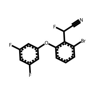 N#CC(F)c1c(Br)cccc1Oc1cc(F)cc(F)c1